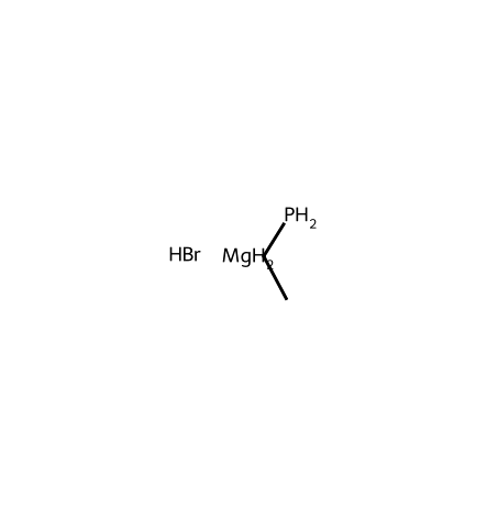 Br.CCP.[MgH2]